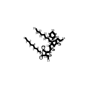 CCCCCCCCN1C(=O)c2c(C)sc(-c3cc4c(s3)-c3sc(C)cc3[Si]4(CCCCCCCC)c3ccccc3)c2C1=O